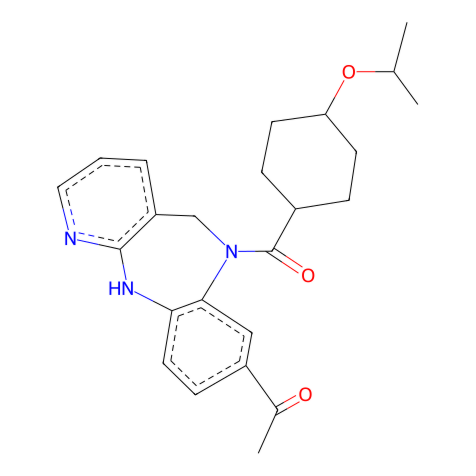 CC(=O)c1ccc2c(c1)N(C(=O)C1CCC(OC(C)C)CC1)Cc1cccnc1N2